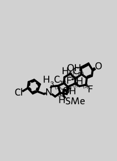 CSCC(=O)[C@@]12CN(Cc3cccc(Cl)c3)C[C@@H]1C[C@H]1[C@@H]3C[C@H](F)C4=CC(=O)C=C[C@]4(C)[C@@]3(F)[C@@H](O)C[C@@]12C